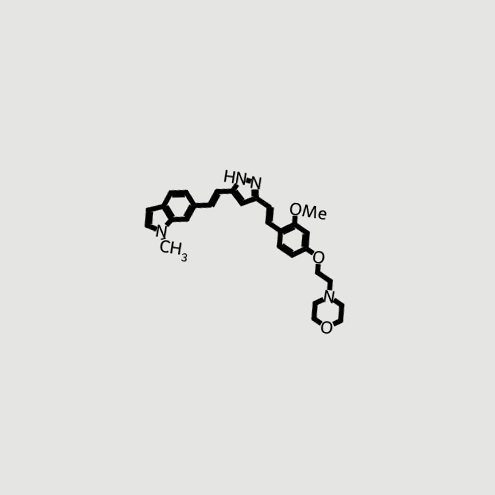 COc1cc(OCCN2CCOCC2)ccc1C=Cc1cc(/C=C/c2ccc3ccn(C)c3c2)[nH]n1